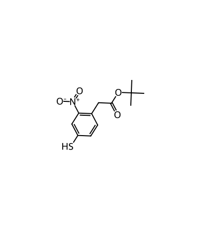 CC(C)(C)OC(=O)Cc1ccc(S)cc1[N+](=O)[O-]